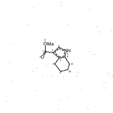 COC(=O)c1c[nH]c2c1CCCC2